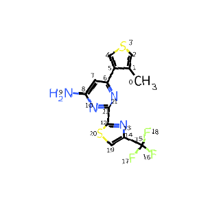 Cc1cscc1-c1cc(N)nc(-c2nc(C(F)(F)F)cs2)n1